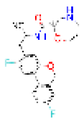 N#CC(Cc1cc2c(cc1F)-c1ccc(F)cc1CO2)NC(=O)[C@@H]1CNCCCO1